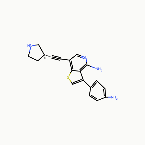 Nc1ccc(-c2csc3c(C#C[C@@H]4CCNC4)cnc(N)c23)cc1